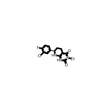 CCn1c(=O)[nH]c2c(c1=O)CC[C@H](c1ccc(F)c(Cl)c1)N2